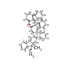 CC1(C)c2ccccc2-c2ccc(-c3ccccc3-c3ccc4c(c3)C(c3ccccc3)(c3ccccc3)c3ccccc3O4)cc21